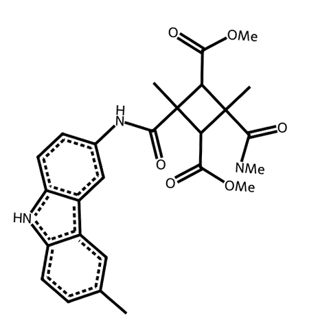 CNC(=O)C1(C)C(C(=O)OC)C(C)(C(=O)Nc2ccc3[nH]c4ccc(C)cc4c3c2)C1C(=O)OC